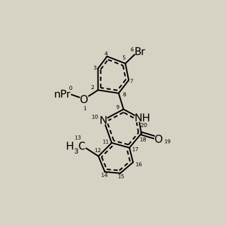 CCCOc1ccc(Br)cc1-c1nc2c(C)cccc2c(=O)[nH]1